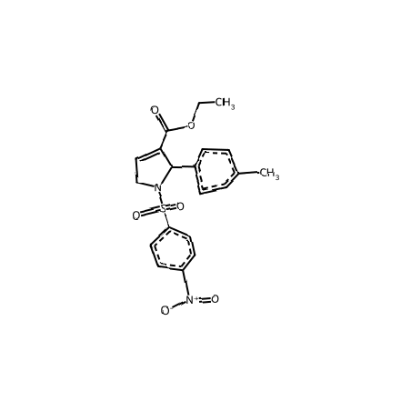 CCOC(=O)C1=CCN(S(=O)(=O)c2ccc([N+](=O)[O-])cc2)C1c1ccc(C)cc1